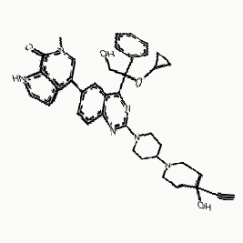 C#CC1(O)CCN(C2CCN(c3nc(C(CO)(OC4CC4)c4ccccc4)c4cc(-c5cn(C)c(=O)c6[nH]ccc56)ccc4n3)CC2)CC1